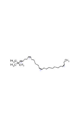 CC/C=C\CCCCCCC/C=C\CCCC/C=C\CC/C=N/C(C)(C)C